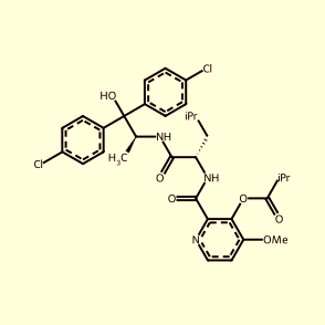 COc1ccnc(C(=O)N[C@@H](CC(C)C)C(=O)N[C@@H](C)C(O)(c2ccc(Cl)cc2)c2ccc(Cl)cc2)c1OC(=O)C(C)C